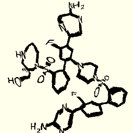 Nc1cnc(-c2ccc(-c3ccccc3S(=O)(=O)N3CCN(c4cc(-c5cnc(N)cn5)c(F)cc4-c4ccccc4S(=O)(=O)N4CCNC[C@@H]4CO)CC3)cc2F)cn1